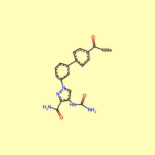 CNC(=O)c1ccc(-c2cccc(-n3cc(NC(N)=O)c(C(N)=O)n3)c2)cc1